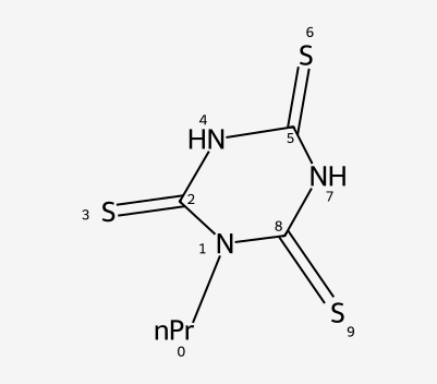 CCCn1c(=S)[nH]c(=S)[nH]c1=S